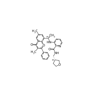 Cc1cc([C@@H](C)Nc2cccnc2C(=O)NC[C@H]2CCOC2)c2oc(-c3ccccc3)c(C)c(=O)c2c1